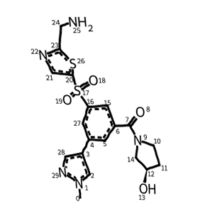 Cn1cc(-c2cc(C(=O)N3CC[C@@H](O)C3)cc(S(=O)(=O)c3cnc(CN)s3)c2)cn1